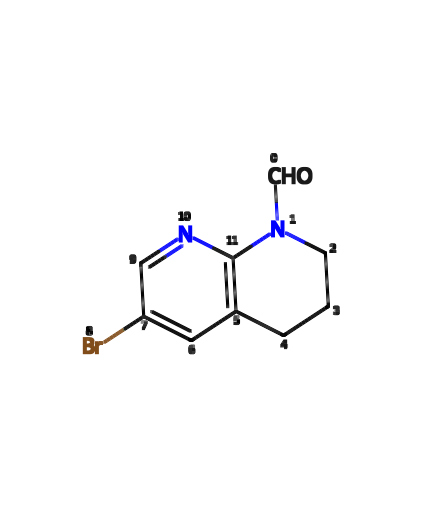 O=CN1CCCc2cc(Br)cnc21